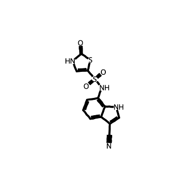 N#Cc1c[nH]c2c(NS(=O)(=O)c3c[nH]c(=O)s3)cccc12